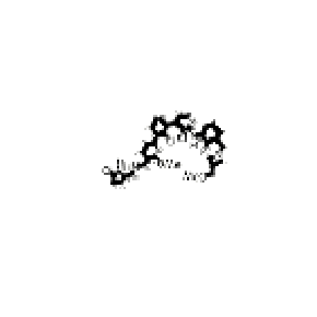 COCC1CN(Cc2cccc(Nc3nccc(-c4cccc(-c5ccc(CNCC6CCC(=O)N6)c(OC)n5)c4Cl)c3Cl)c2F)C1